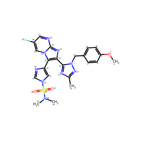 COc1ccc(Cn2nc(C)nc2-c2nc3ncc(F)cn3c2-c2cn(S(=O)(=O)N(C)C)cn2)cc1